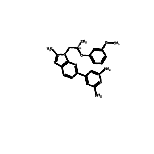 COc1cccc(O[C@@H](C)Cn2c(C)nc3ccc(-c4cc(N)nc(N)c4)nc32)c1